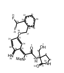 CN/C(C(=O)NC1(CO)CCNC1=O)=C1/C=C(OCc2ccccc2C(F)F)C=CC1=N